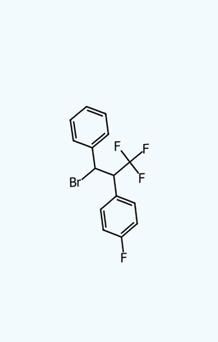 Fc1ccc(C(C(Br)c2ccccc2)C(F)(F)F)cc1